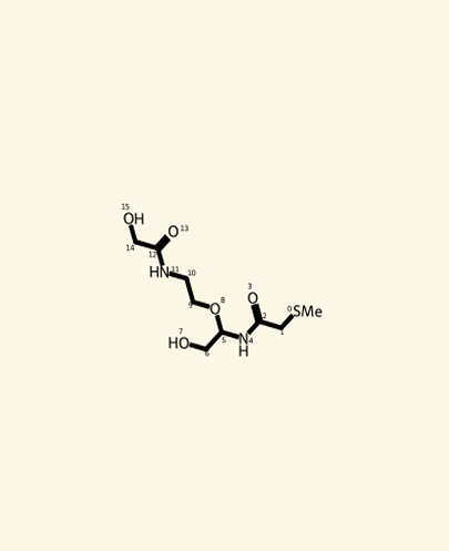 CSCC(=O)NC(CO)OCCNC(=O)CO